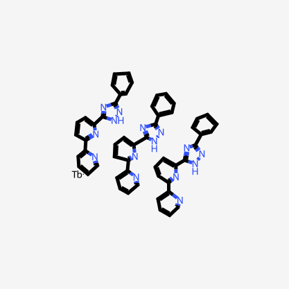 [Tb].c1ccc(-c2n[nH]c(-c3cccc(-c4ccccn4)n3)n2)cc1.c1ccc(-c2n[nH]c(-c3cccc(-c4ccccn4)n3)n2)cc1.c1ccc(-c2n[nH]c(-c3cccc(-c4ccccn4)n3)n2)cc1